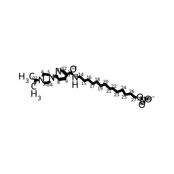 CC(C)N1CCN(c2ccc(C(=O)NCCCCCCCCCCCCCCO[N+](=O)[O-])cn2)CC1